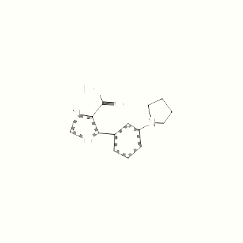 O=C(O)c1ncoc1-c1cccc(N2CCCC2)c1